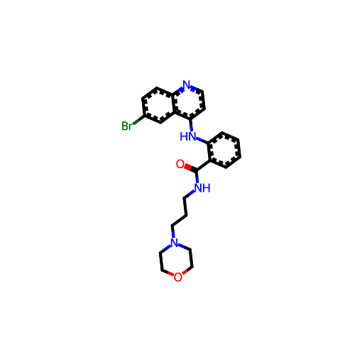 O=C(NCCCN1CCOCC1)c1ccccc1Nc1ccnc2ccc(Br)cc12